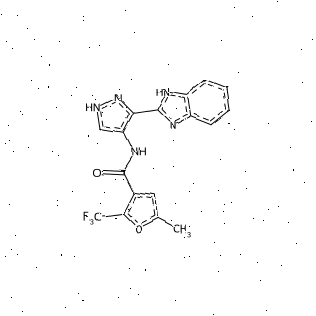 Cc1cc(C(=O)Nc2c[nH]nc2-c2nc3ccccc3[nH]2)c(C(F)(F)F)o1